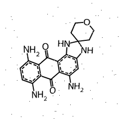 Nc1ccc(N)c2c1C(=O)c1c(N)cc3c(c1C2=O)NC1(CCOCC1)N3